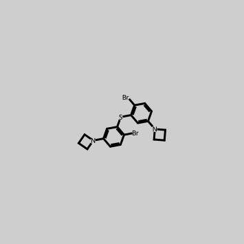 Brc1ccc(N2CCC2)cc1Sc1cc(N2CCC2)ccc1Br